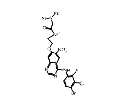 CCN(CC)CC(=O)NCCOc1cc2ncnc(Nc3ccc(Br)c(Cl)c3F)c2cc1[N+](=O)[O-]